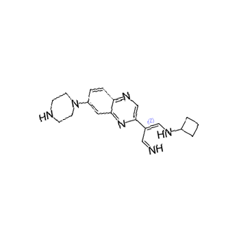 N=C/C(=C\NC1CCC1)c1cnc2ccc(N3CCNCC3)cc2n1